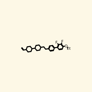 C=CC1CCC(C2CCC(CCc3ccc(-c4ccc(OCC)c(F)c4F)cc3)CC2)CC1